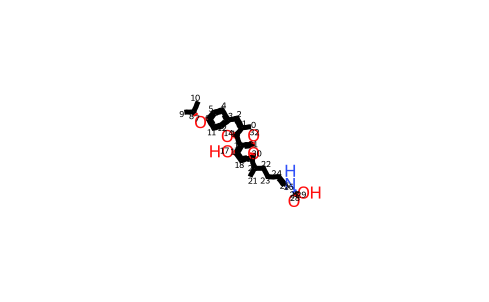 CC(=Cc1ccc(OC(C)C)cc1)C(=O)c1c(O)cc(C(C)CCC=CNC(=O)O)oc1=O